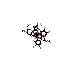 Cc1nc(C2(n3cc(-c4ccc(Cl)c(F)c4F)cn3)O[C@@H](CO)[C@@H](O)C[C@@]2(O)n2cc(-c3ccc(Cl)c(F)c3F)cn2)n(-c2ccc3nc(C)sc3c2)n1